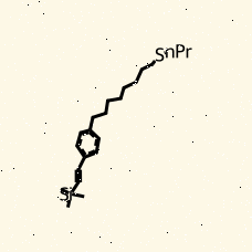 CCCSCCCCCCCCc1ccc(C#C[Si](C)(C)C)cc1